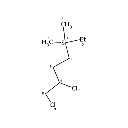 CC[Si](C)(C)CCC(Cl)CCl